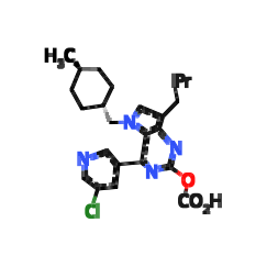 CC(C)Cc1cn(C[C@H]2CC[C@H](C)CC2)c2c(-c3cncc(Cl)c3)nc(OC(=O)O)nc12